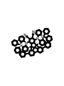 CC1(C)c2c(N3c4ccccc4[Si](c4ccccc4)(c4ccccc4)c4ccccc43)c(C#N)c(C#N)c(N3c4ccccc4[Si](c4ccccc4)(c4ccccc4)c4ccccc43)c2C(C)(C)C12c1cc(-c3ccccc3)ccc1-c1ccc(-c3ccccc3)cc12